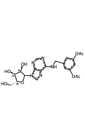 CC(=O)Oc1cc(CNc2ncnc3c2ncn3C2O[C@H](CO)[C@@H](O)[C@H]2O)cc(OC(C)=O)c1